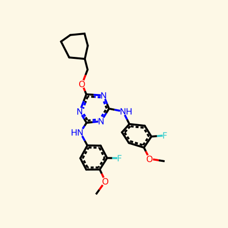 COc1ccc(Nc2nc(Nc3ccc(OC)c(F)c3)nc(OCC3CCCCC3)n2)cc1F